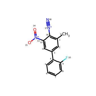 Cc1cc(-c2ccccc2F)cc([N+](=O)[O-])c1[N+]#N